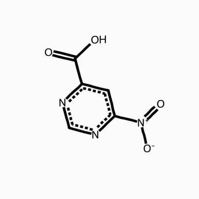 O=C(O)c1cc([N+](=O)[O-])ncn1